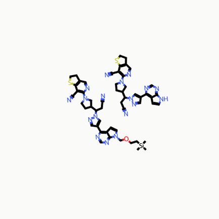 C[Si](C)(C)CCOCn1ccc2c(-c3cnn(C(CC#N)C4CCN(c5ncc6c(c5C#N)SCC6)C4)c3)ncnc21.N#CCC(C1CCN(c2ncc3c(c2C#N)SCC3)C1)n1cc(-c2ncnc3[nH]ccc23)cn1